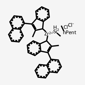 CCCCCC.C[SiH2][Zr+2]([CH]1C(C)=C(c2cccc3ccccc23)c2ccccc21)[CH]1C(C)=C(c2cccc3ccccc23)c2ccccc21.[Cl-].[Cl-]